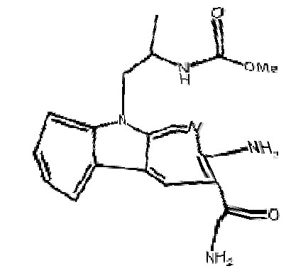 COC(=O)NC(C)Cn1c2ccccc2c2cc(C(N)=O)c(N)nc21